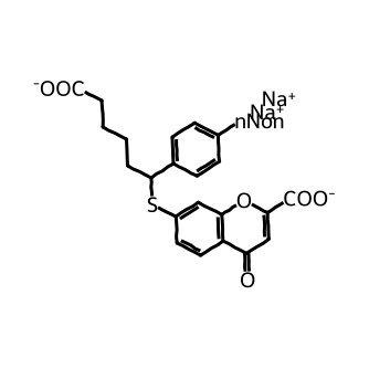 CCCCCCCCCc1ccc(C(CCCCC(=O)[O-])Sc2ccc3c(=O)cc(C(=O)[O-])oc3c2)cc1.[Na+].[Na+]